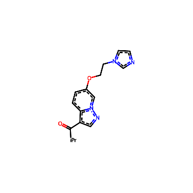 CC(C)C(=O)c1cnn2cc(OCCn3ccnc3)ccc12